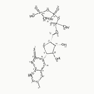 Cc1c[nH]c2nc(=S)c([C@@H]3O[C@H](COP(=O)(O)OP(=O)(O)OP(=O)(O)O)[C@H](O)C3O)cc-2c1